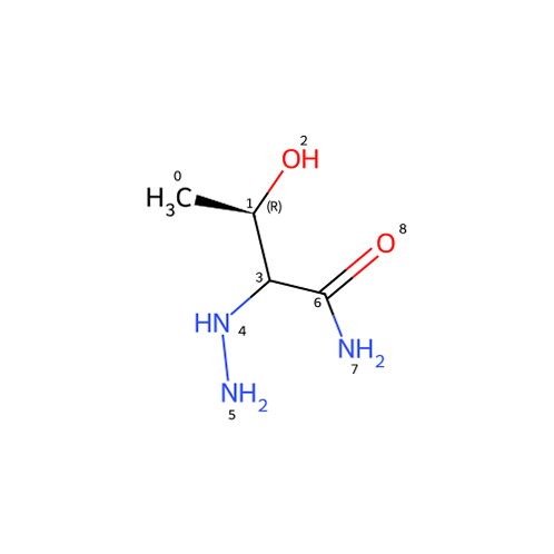 C[C@@H](O)C(NN)C(N)=O